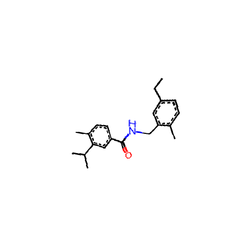 CCc1ccc(C)c(CNC(=O)c2ccc(C)c(C(C)C)c2)c1